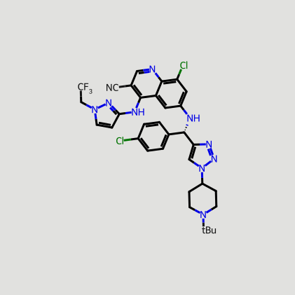 CC(C)(C)N1CCC(n2cc([C@@H](Nc3cc(Cl)c4ncc(C#N)c(Nc5ccn(CC(F)(F)F)n5)c4c3)c3ccc(Cl)cc3)nn2)CC1